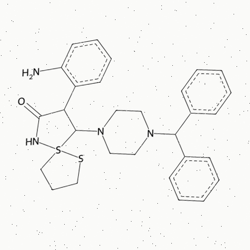 Nc1ccccc1C1C(=O)NS2(CCCS2)C1N1CCN(C(c2ccccc2)c2ccccc2)CC1